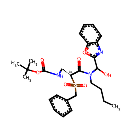 CCCCN(C(=O)[C@@H](CNC(=O)OC(C)(C)C)S(=O)(=O)Cc1ccccc1)C(O)c1nc2ccccc2o1